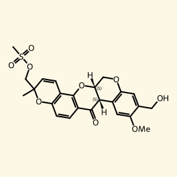 COc1cc2c(cc1CO)OC[C@H]1Oc3c(ccc4c3C=CC(C)(COS(C)(=O)=O)O4)C(=O)[C@@H]21